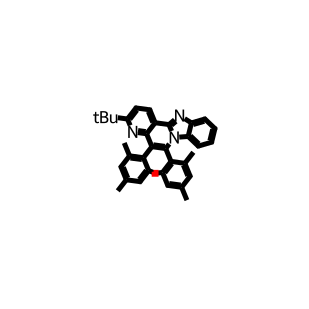 Cc1cc(C)c(-c2c(-c3c(C)cc(C)cc3C)n3c4ccccc4nc3c3ccc(C(C)(C)C)nc23)c(C)c1